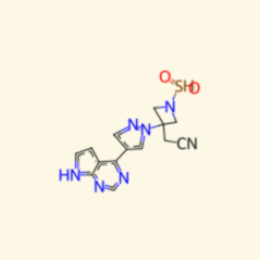 N#CCC1(n2cc(-c3ncnc4[nH]ccc34)cn2)CN([SH](=O)=O)C1